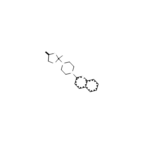 CCCCC1(N2CCN(c3ccc4ccccc4n3)CC2)NC(=O)CS1